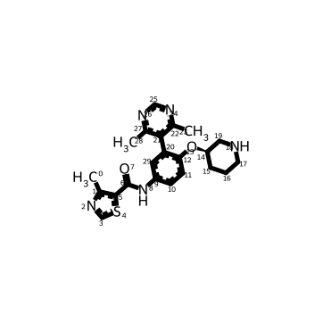 Cc1ncsc1C(=O)Nc1ccc(O[C@@H]2CCCNC2)c(-c2c(C)ncnc2C)c1